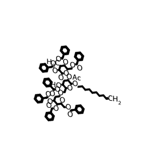 C=CCCCCCCCCOC1OC(COC2OC(COC(=O)c3ccccc3)C(OC(=O)c3ccccc3)C(OC(=O)c3ccccc3)C2OC(=O)c2ccccc2)C(O)C(OC2OC(COC(=O)c3ccccc3)C(OC(=O)c3ccccc3)C(C)C2OC(=O)c2ccccc2)C1OC(C)=O